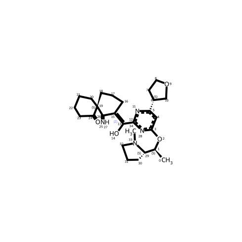 C[C@H](Oc1cc([C@@H]2CCOC2)nc(/C(O)=C2\CCC[C@@]3(CCCCC3=O)C2=N)n1)[C@@H]1CCCN1C